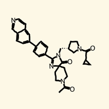 CC(=O)N1CCC2(CC1)N=C(c1ccc(-c3ccc4cnccc4c3)cc1)N(C[C@@H]1CCN(C(=O)C3CC3)C1)C2=O